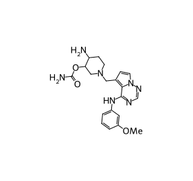 COc1cccc(Nc2ncnn3ccc(CN4CCC(N)C(OC(N)=O)C4)c23)c1